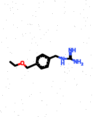 CCOCc1ccc(CNC(=N)N)cc1